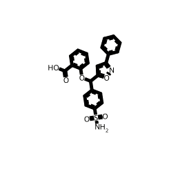 NS(=O)(=O)c1ccc(C(Oc2ccccc2C(=O)O)c2cc(-c3ccccc3)no2)cc1